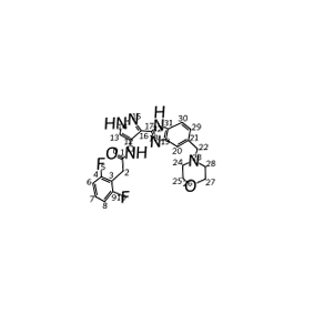 O=C(Cc1c(F)cccc1F)Nc1c[nH]nc1-c1nc2cc(CN3CCOCC3)ccc2[nH]1